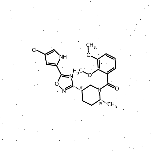 COc1cccc(C(=O)N2C[C@@H](c3noc(-c4cc(Cl)c[nH]4)n3)CC[C@H]2C)c1OC